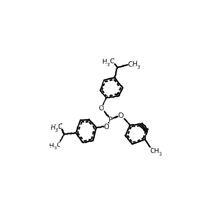 Cc1c#cc(OP(Oc2ccc(C(C)C)cc2)Oc2ccc(C(C)C)cc2)cc1